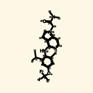 Cc1cc(OC(F)(F)F)cc(C(C)C)c1Nc1nccc2c1ccn2CC(=O)N(C)C